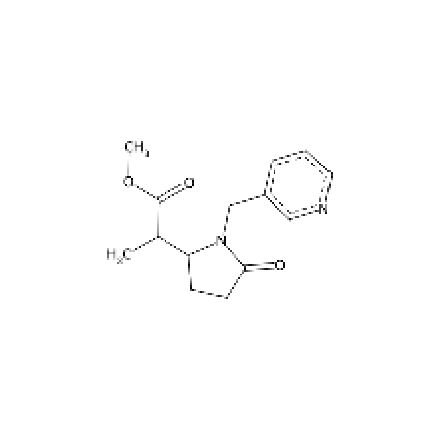 COC(=O)C(C)C1CCC(=O)N1Cc1cccnc1